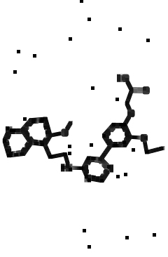 CCOc1cc(-c2cc(NCCc3c(OC)ccc4ncccc34)ncn2)ccc1OCC(=O)O